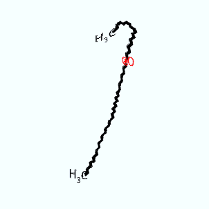 CC/C=C\C/C=C\C/C=C\CCCCCCCC(=O)OCCCCCCCCCCCCCCCCCCCCCCCCCCCCCCCCCC